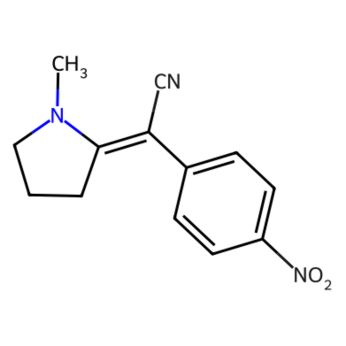 CN1CCCC1=C(C#N)c1ccc([N+](=O)[O-])cc1